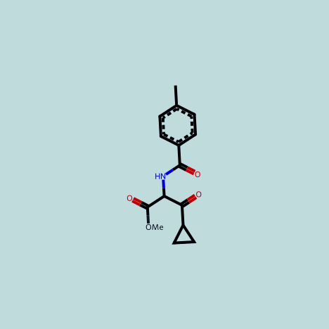 COC(=O)C(NC(=O)c1ccc(C)cc1)C(=O)C1CC1